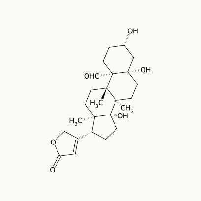 C[C@]12CC[C@]3(C)[C@@H](C4=CC(=O)OC4)CC[C@]3(O)[C@]1(C)CC[C@]1(O)C[C@@H](O)CC[C@@]12C=O